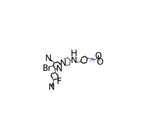 COC(=O)/C=C/c1ccc(CNC2CCN(c3cc(C#N)c(Br)c(-c4ccc(C#N)c(F)c4)n3)CC2)cc1